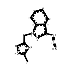 Cc1nc(Cn2nc(N=C=S)c3ccccc32)cs1